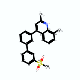 Cc1cc(-c2cccc(-c3cccc(S(C)(=O)=O)c3)c2)c2cccc(C(F)(F)F)c2n1